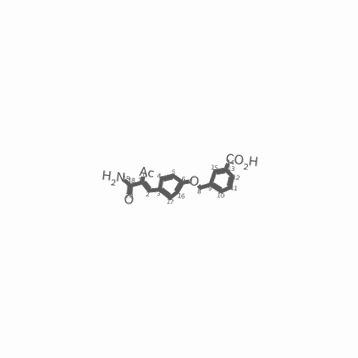 CC(=O)/C(=C\c1ccc(OCc2cccc(C(=O)O)c2)cc1)C(N)=O